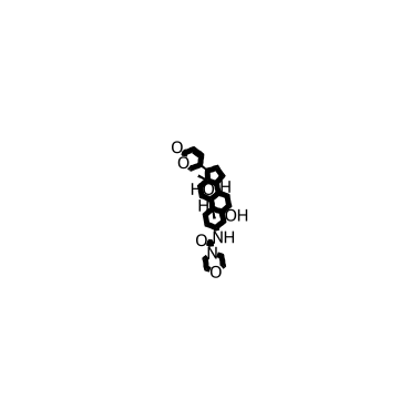 C[C@]12CCC(NC(=O)N3CCOCC3)C[C@@]1(O)CC[C@@H]1[C@@H]2CC[C@]2(C)[C@@H](C3C=CC(=O)OC3)CC[C@]12O